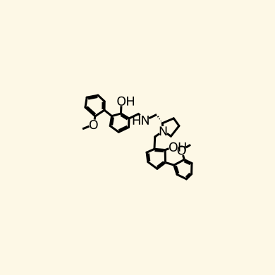 COc1ccccc1-c1cccc(CNC[C@@H]2CCCN2Cc2cccc(-c3ccccc3OC)c2O)c1O